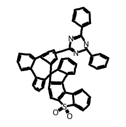 O=S1(=O)c2ccccc2-c2c1ccc1c2-c2ccccc2C12c1ccccc1-c1ccccc1-c1ccc(-c3nc(-c4ccccc4)nc(-c4ccccc4)n3)cc12